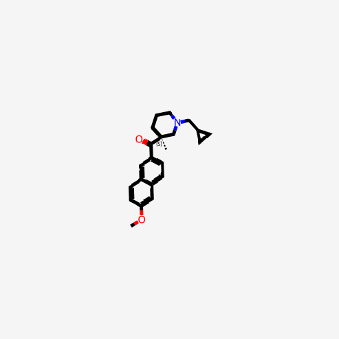 COc1ccc2cc(C(=O)[C@@]3(C)CCCN(CC4CC4)C3)ccc2c1